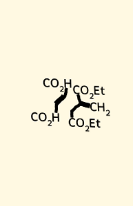 C=C(CC(=O)OCC)C(=O)OCC.O=C(O)/C=C/C(=O)O